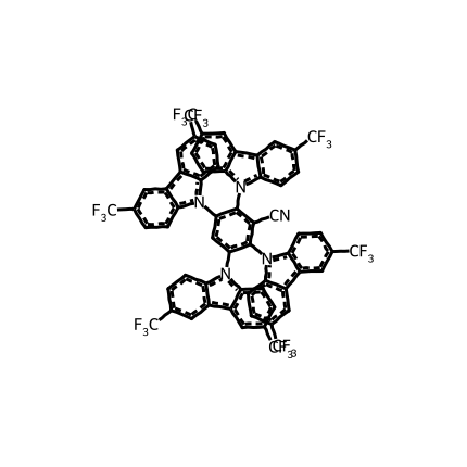 N#Cc1c(-n2c3ccc(C(F)(F)F)cc3c3cc(C(F)(F)F)ccc32)c(-n2c3ccc(C(F)(F)F)cc3c3cc(C(F)(F)F)ccc32)cc(-n2c3ccc(C(F)(F)F)cc3c3cc(C(F)(F)F)ccc32)c1-n1c2ccc(C(F)(F)F)cc2c2cc(C(F)(F)F)ccc21